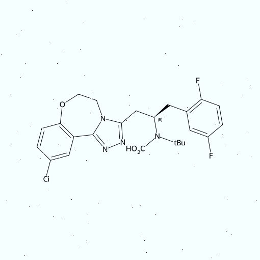 CC(C)(C)N(C(=O)O)[C@H](Cc1cc(F)ccc1F)Cc1nnc2n1CCOc1ccc(Cl)cc1-2